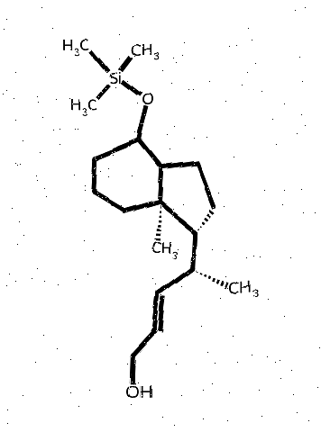 C[C@H](C=CCO)[C@H]1CCC2C(O[Si](C)(C)C)CCC[C@@]21C